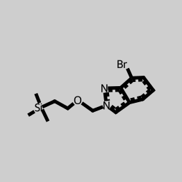 C[Si](C)(C)CCOCn1cc2cccc(Br)c2n1